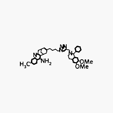 COc1cc2c(cc1OC)C(c1ccccc1)N(Cc1cn(CCCCC3=CC4Cc5nc6cc(C)ccc6c(N)c5C(C3)C4)nn1)CC2